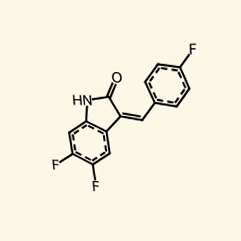 O=C1Nc2cc(F)c(F)cc2C1=Cc1ccc(F)cc1